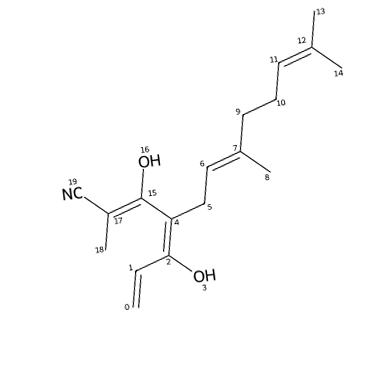 C=C/C(O)=C(C/C=C(\C)CCC=C(C)C)\C(O)=C(/C)C#N